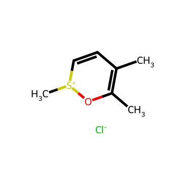 CC1=C(C)O[S+](C)C=C1.[Cl-]